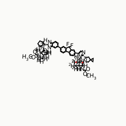 [2H]C([2H])([2H])C(C([2H])([2H])[2H])[C@@]([2H])(NC(=O)OC)C(=O)N1[C@@H]2CC[C@@H](C2)[C@H]1c1nc2ccc(-c3ccc4c(c3)C(F)(F)c3cc(-c5cnc([C@@H]6CC7(CC7)CN6C(=O)[C@]([2H])(NC(=O)OC)C([2H])(C([2H])([2H])[2H])C([2H])([2H])[2H])[nH]5)ccc3-4)cc2[nH]1